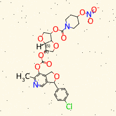 Cc1ncc2c(c1OC(=O)O[C@@H]1COC3C(OC(=O)N4CCC(O[N+](=O)[O-])CC4)CO[C@H]31)COC2c1ccc(Cl)cc1